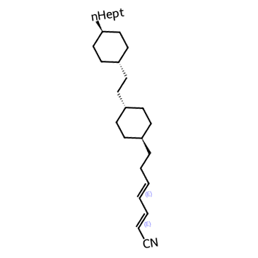 CCCCCCC[C@H]1CC[C@H](CC[C@H]2CC[C@H](CC/C=C/C=C/C#N)CC2)CC1